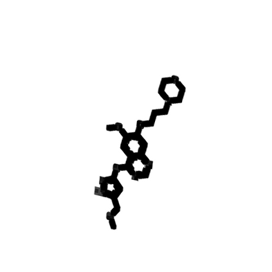 COCc1cc(Oc2ncnc3cc(OCCCN4CCOCC4)c(OC)cc23)n[nH]1